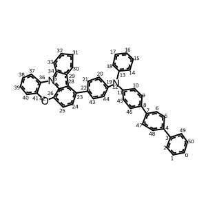 c1ccc(-c2ccc(-c3ccc(N(c4ccccc4)c4ccc(-c5ccc6c7c5c5ccccc5n7-c5ccccc5O6)cc4)cc3)cc2)cc1